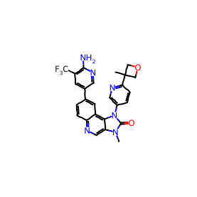 Cn1c(=O)n(-c2ccc(C3(C)COC3)nc2)c2c3cc(-c4cnc(N)c(C(F)(F)F)c4)ccc3ncc21